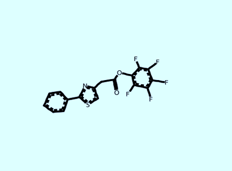 O=C(Cc1csc(-c2ccccc2)n1)Oc1c(F)c(F)c(F)c(F)c1F